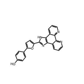 Oc1ccc(-c2ccc(-c3nc4c5cccnc5c5ncccc5c4[nH]3)o2)cc1